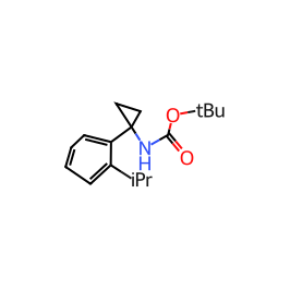 CC(C)c1ccccc1C1(NC(=O)OC(C)(C)C)CC1